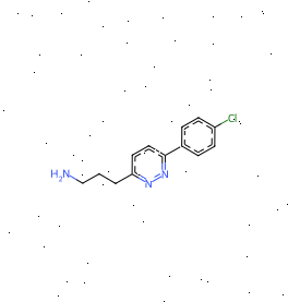 NCCCc1ccc(-c2ccc(Cl)cc2)nn1